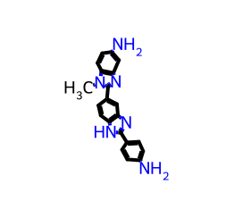 Cn1c(-c2ccc3[nH]c(-c4ccc(N)cc4)nc3c2)nc2cc(N)ccc21